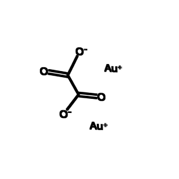 O=C([O-])C(=O)[O-].[Au+].[Au+]